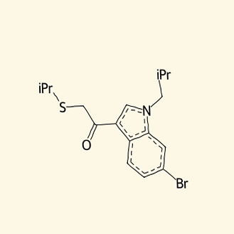 CC(C)Cn1cc(C(=O)CSC(C)C)c2ccc(Br)cc21